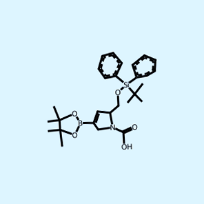 CC1(C)OB(C2=CC(CO[Si](c3ccccc3)(c3ccccc3)C(C)(C)C)N(C(=O)O)C2)OC1(C)C